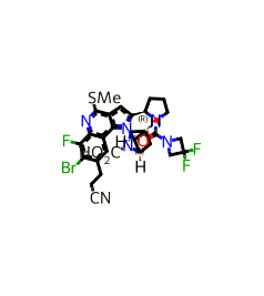 CSc1nc2c(F)c(Br)c(CCC#N)cc2c2c1cc([C@H]1CCCN1C(=O)N1CC(F)(F)C1)n2[C@H]1[C@@H]2C[C@H]1N(C(=O)O)C2